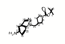 CC(C)(C)OC(=O)N1CCC(Cn2ncc3cc(N)ccc32)CC1